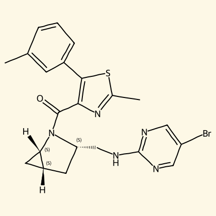 Cc1cccc(-c2sc(C)nc2C(=O)N2[C@H](CNc3ncc(Br)cn3)C[C@@H]3C[C@@H]32)c1